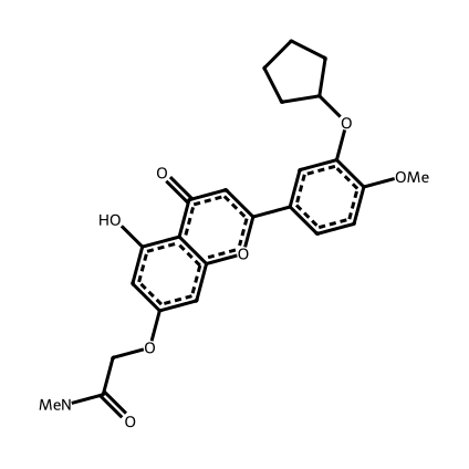 CNC(=O)COc1cc(O)c2c(=O)cc(-c3ccc(OC)c(OC4CCCC4)c3)oc2c1